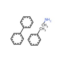 CN.Cc1ccccc1.c1ccc(-c2ccccc2)cc1